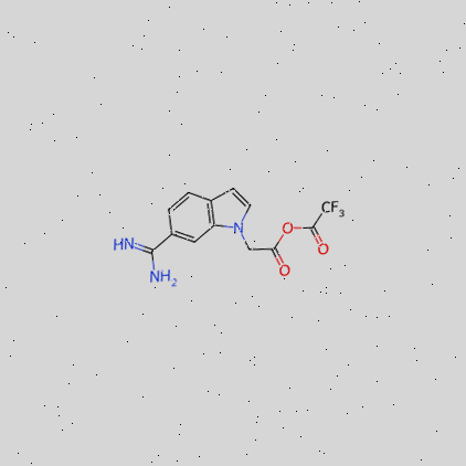 N=C(N)c1ccc2ccn(CC(=O)OC(=O)C(F)(F)F)c2c1